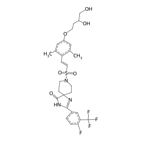 Cc1cc(OCCC(O)CO)cc(C)c1/C=C/S(=O)(=O)N1CCC2(CC1)N=C(c1ccc(F)c(C(F)(F)F)c1)NC2=O